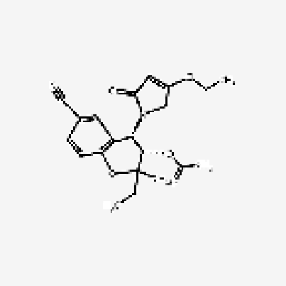 CCOC1=CC(=O)N([C@@H]2c3cc(C#N)ccc3OC(C)(CC)[C@H]2OC(C)=O)C1